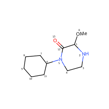 COC1NCCN(C2CCCCC2)C1=O